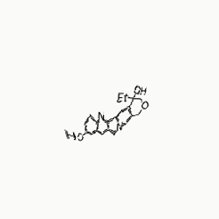 CCC1(O)COCc2cn3cc4cc5cc(O)ccc5nc4c3cc21